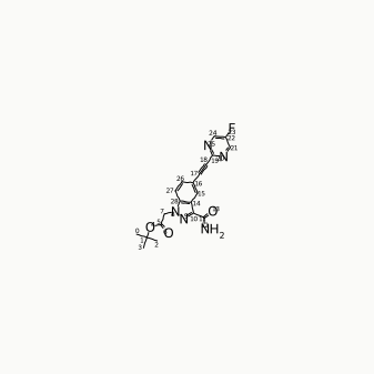 CC(C)(C)OC(=O)Cn1nc(C(N)=O)c2cc(C#Cc3ncc(F)cn3)ccc21